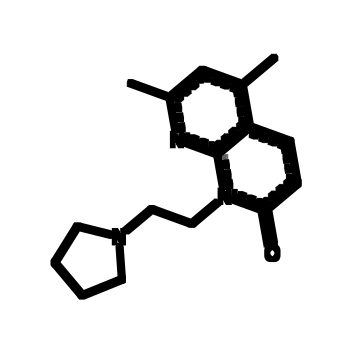 Cc1cc(C)c2ccc(=O)n(CCN3CCCC3)c2n1